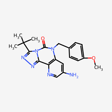 COc1ccc(Cn2c(=O)n3c(C(C)(C)C)nnc3c3ncc(N)cc32)cc1